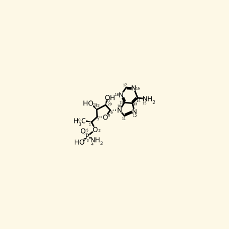 C[C@H](OP(N)(=O)O)[C@H]1O[C@@H](n2cnc3c(N)ncnc32)[C@H](O)[C@@H]1O